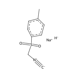 [C-]#[N+]CS(=O)(=O)c1ccc(C)cc1.[H-].[Na+]